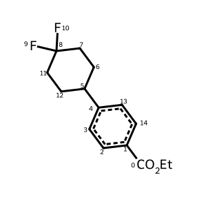 CCOC(=O)c1ccc(C2CCC(F)(F)CC2)cc1